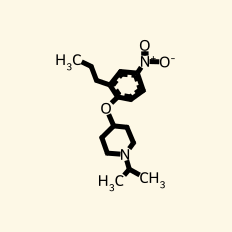 CCCc1cc([N+](=O)[O-])ccc1OC1CCN(C(C)C)CC1